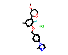 COC1CCOC(c2cc(C)cc(OCc3ccc(-n4ccnc4C)cc3)c2F)C1.Cl